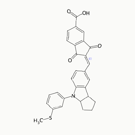 CSc1cccc(N2c3ccc(/C=C4\C(=O)c5ccc(C(=O)O)cc5C4=O)cc3C3CCCC32)c1